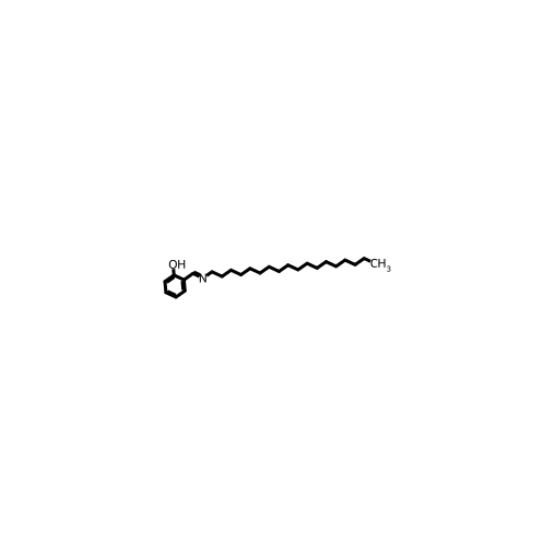 CCCCCCCCCCCCCCCCCCN=Cc1ccccc1O